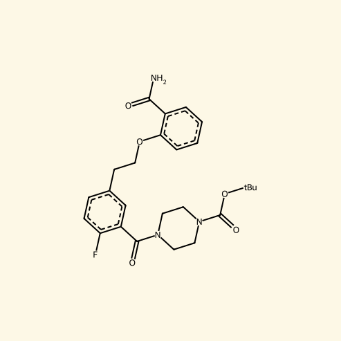 CC(C)(C)OC(=O)N1CCN(C(=O)c2cc(CCOc3ccccc3C(N)=O)ccc2F)CC1